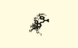 N#CC1=CC(C(N)=O)(C2(N)C=CC=C(CCC(c3ccc(C(N)=O)cc3)C3CC3)C2F)N(c2cccc(CN)c2)N1